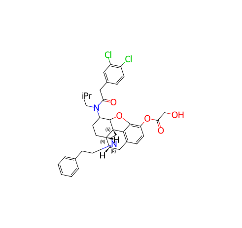 CC(C)CN(C(=O)Cc1ccc(Cl)c(Cl)c1)C1CC[C@H]2[C@H]3Cc4ccc(OC(=O)CO)c5c4[C@@]2(CCN3CCc2ccccc2)C1O5